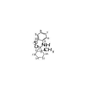 CC1(C(=O)Nc2ccccc2[S])CCCCC1